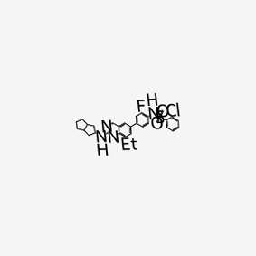 CCc1cc(-c2ccc(NS(=O)(=O)c3ccccc3Cl)c(F)c2)cc2cnc(NC3CC4CCCC4C3)nc12